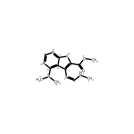 CN/C=N\c1c(C(=O)OC)sc2ncnc(N(C)C)c12